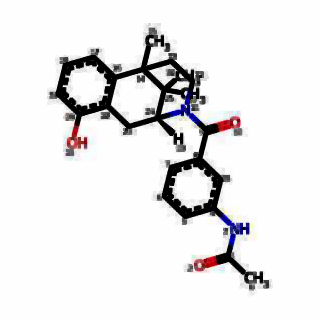 CC(=O)Nc1cccc(C(=O)N2CCC3(C)c4cccc(O)c4C[C@@H]2C3(C)C)c1